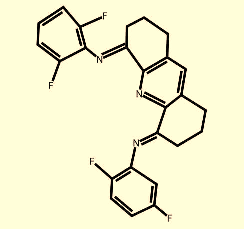 Fc1ccc(F)c(N=C2CCCc3cc4c(nc32)C(=Nc2c(F)cccc2F)CCC4)c1